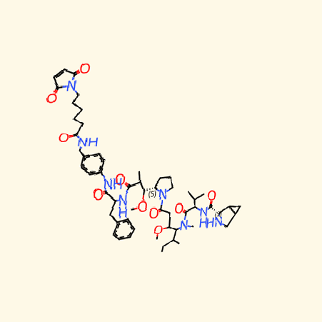 CCC(C)C(C(CC(=O)N1CCC[C@H]1C(OC)C(C)C(=O)NC(Cc1ccccc1)C(=O)Nc1ccc(CNC(=O)CCCCCN2C(=O)C=CC2=O)cc1)OC)N(C)C(=O)C(NC(=O)[C@H]1NCC2CC21)C(C)C